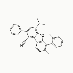 Cc1ccc2c(oc3c(C(C)C)cc(-c4ccccc4)c(C#N)c32)c1-c1cccc[n+]1C